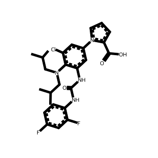 CC(C)CN(CC(C)C)c1c(Cl)cc(-n2cccc2C(=O)O)cc1NC(=O)Nc1ccc(F)cc1F